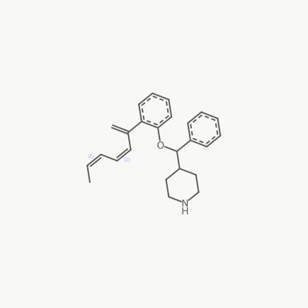 C=C(/C=C\C=C/C)c1ccccc1OC(c1ccccc1)C1CCNCC1